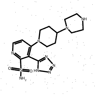 NS(=O)(=O)c1nccc(N2CCC(N3CCNCC3)CC2)c1-c1nnn[nH]1